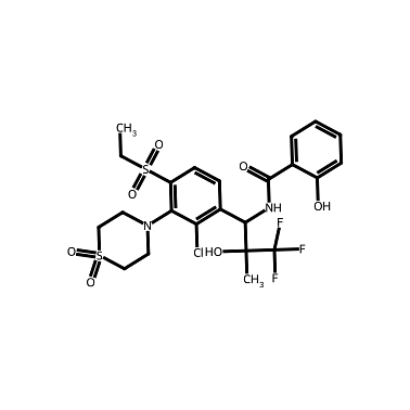 CCS(=O)(=O)c1ccc(C(NC(=O)c2ccccc2O)C(C)(O)C(F)(F)F)c(Cl)c1N1CCS(=O)(=O)CC1